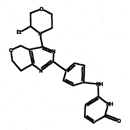 CCC1COCCN1c1nc(-c2ccc(Nc3cccc(=O)[nH]3)cc2)nc2c1COCC2